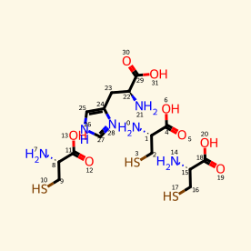 N[C@@H](CS)C(=O)O.N[C@@H](CS)C(=O)O.N[C@@H](CS)C(=O)O.N[C@@H](Cc1c[nH]cn1)C(=O)O